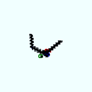 CCCCCCCC/C=C\CCCCCCCC[N+]1(C(C)O)CCN=C1CCCCCCCCCCCC.[Cl-]